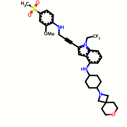 COc1cc(S(C)(=O)=O)ccc1NCC#Cc1cc2c(NC3CCC(N4CC5(CCOCC5)C4)CC3)cccc2n1CC(F)(F)F